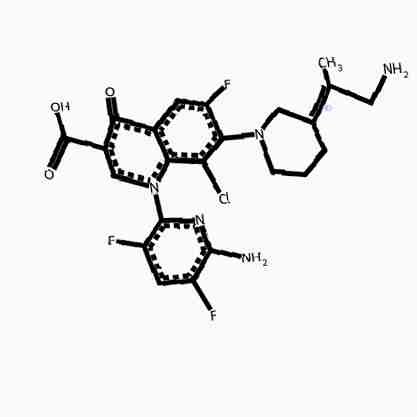 C/C(CN)=C1/CCCN(c2c(F)cc3c(=O)c(C(=O)O)cn(-c4nc(N)c(F)cc4F)c3c2Cl)C1